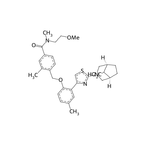 COCCN(C)C(=O)c1ccc(COc2ccc(C)cc2-c2csc(N3C[C@H]4CC[C@@H](C3)C4C(=O)O)n2)c(C)c1